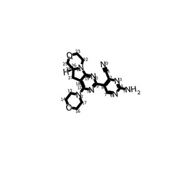 N#Cc1nc(N)ncc1-c1nc(N2CCOCC2)c2c(n1)N1CCOC[C@H]1C2